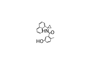 Cc1ccc(O)cc1C(=O)NC1(c2cccc3ccccc23)CC1